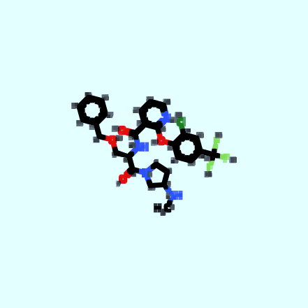 CN[C@@H]1CCN(C(=O)[C@@H](COCc2ccccc2)NC(=O)c2cccnc2Oc2ccc(C(F)(F)F)cc2Cl)C1